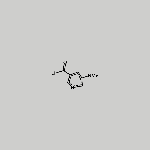 CNc1cncc(C(=O)Cl)c1